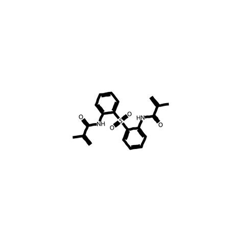 C=C(C)C(=O)Nc1ccccc1S(=O)(=O)c1ccccc1NC(=O)C(=C)C